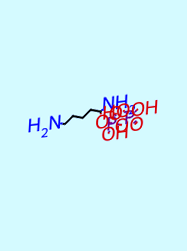 NCCCCC(N)OP(=O)(O)OP(=O)(O)O